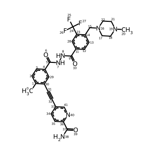 Cc1ccc(C(=O)NNC(=O)c2ccc(CN3CCN(C)CC3)c(C(F)(F)F)c2)cc1C#Cc1ccc(C(N)=O)nc1